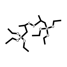 CCO[Si](CC(C)SSC(C)C[Si](OCC)(OCC)OCC)(OCC)OCC